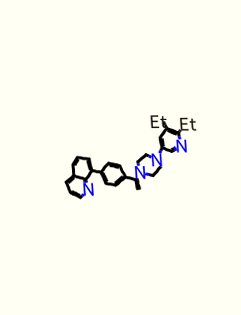 C=C(c1ccc(-c2cccc3cccnc23)cc1)N1CCN(c2cnc(CC)c(CC)c2)CC1